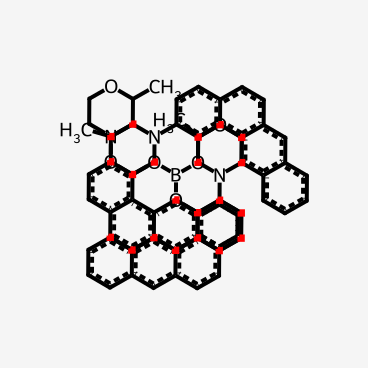 CC1CN(c2ccc3ccc4cc5ccccc5cc4c3c2OB(Oc2c(N3CCOC(C)C3)ccc3ccc4cc5ccccc5cc4c23)Oc2c(N3CCOC(C)C3)ccc3ccc4cc5ccccc5cc4c23)CCO1